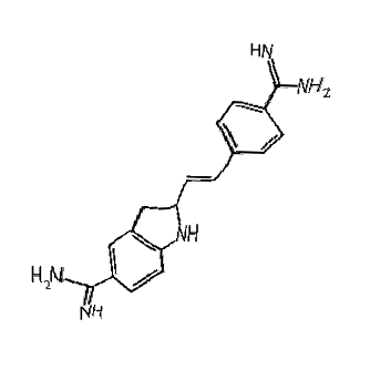 N=C(N)c1ccc(/C=C/C2Cc3cc(C(=N)N)ccc3N2)cc1